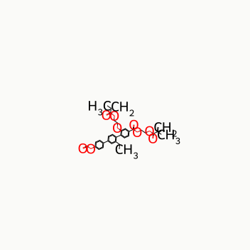 C=C(C)C(=O)OCCOC(=O)c1ccc(-c2ccc(-c3ccc(OC=O)cc3)cc2CC)c(OCCOC(=O)C(=C)C)c1